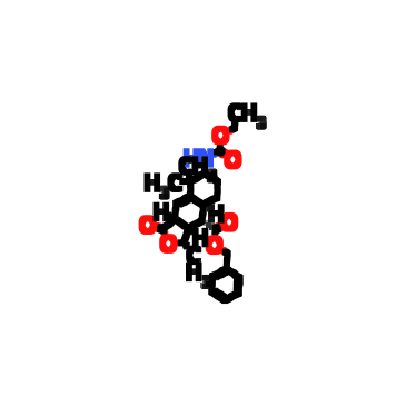 CCOC(=O)NC1CC[C@@H]2C(=C[C@H]3C(=O)O[C@H](C)[C@H]3[C@H]2C(=O)OCc2ccccc2)C1(C)C